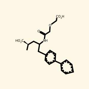 C[C@H](CC(Cc1ccc(-c2ccccc2)cc1)NC(=O)COCC(=O)O)C(=O)O